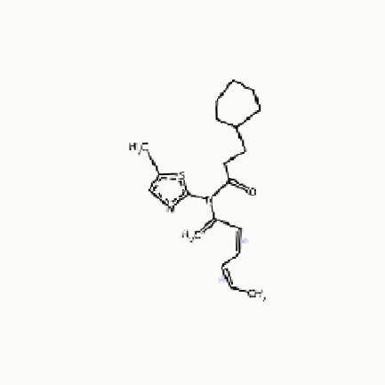 C=C(/C=C\C=C/C)N(C(=O)CCC1CCCCC1)c1ncc(C)s1